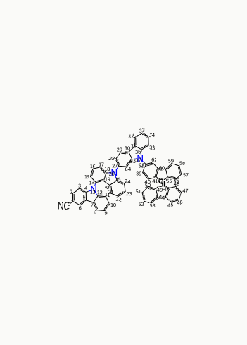 N#Cc1ccc2c(c1)c1ccccc1n2-c1cccc2c1c1ccccc1n2-c1ccc2c3ccccc3n(-c3ccc([Si](c4ccccc4)(c4ccccc4)c4ccccc4)cc3)c2c1